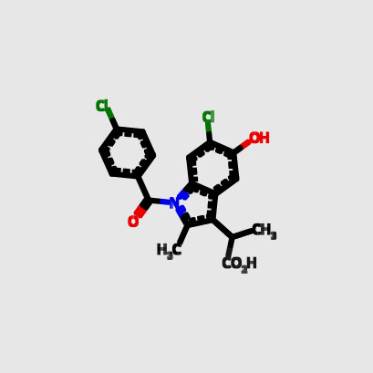 Cc1c(C(C)C(=O)O)c2cc(O)c(Cl)cc2n1C(=O)c1ccc(Cl)cc1